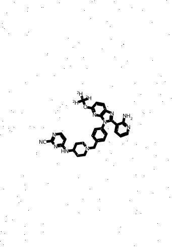 [2H]C([2H])([2H])Oc1ccc2nc(-c3cccnc3N)n(-c3ccc(CN4CCC(Nc5ccnc(C#N)n5)CC4)cc3)c2n1